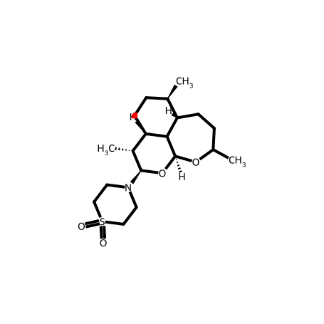 CC1CC[C@@H]2C3[C@@H](O1)O[C@@H](N1CCS(=O)(=O)CC1)[C@H](C)[C@@H]3CC[C@H]2C